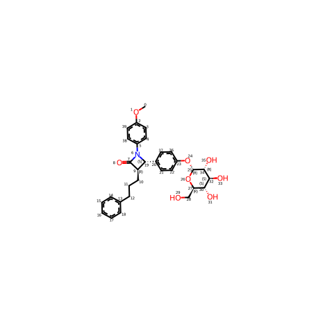 COc1ccc(N2C(=O)[C@H](CCCc3ccccc3)[C@H]2c2ccc(O[C@H]3O[C@H](CO)[C@@H](O)[C@H](O)[C@H]3O)cc2)cc1